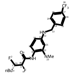 CCCC[C@H](F)[C@H](F)C(=O)Nc1ccc(NCc2ccc(C(F)(F)F)cc2)cc1NC